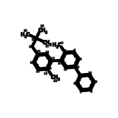 Cc1ccc(-c2ccccc2)cc1-c1cc(CC(C)(C)C)cc[n+]1C